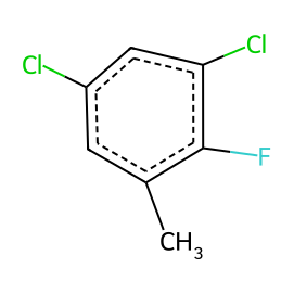 Cc1cc(Cl)cc(Cl)c1F